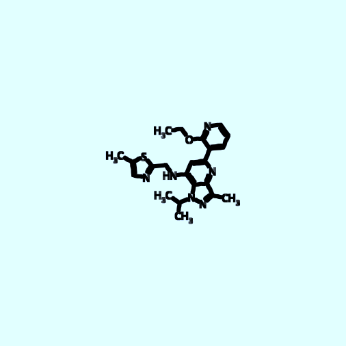 CCOc1ncccc1-c1cc(NCc2ncc(C)s2)c2c(n1)c(C)nn2C(C)C